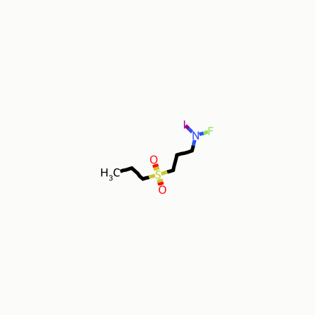 CCCS(=O)(=O)CCCN(F)I